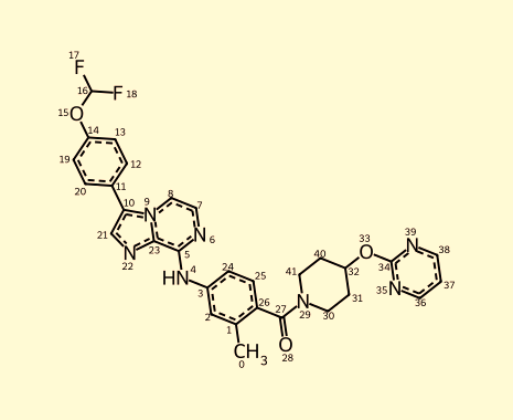 Cc1cc(Nc2nccn3c(-c4ccc(OC(F)F)cc4)cnc23)ccc1C(=O)N1CCC(Oc2ncccn2)CC1